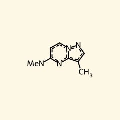 CNc1ccn2ncc(C)c2n1